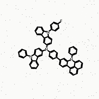 Fc1ccc(-n2c3ccccc3c3cc(N(c4ccc(-c5ccc6c(c5)N(c5ccccc5)c5cccc7cccc-6c57)cc4)c4ccc5c(c4)c4ccccc4n5-c4ccccc4)ccc32)cc1